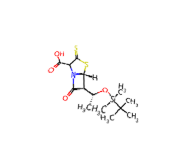 C[C@@H](O[Si](C)(C)C(C)(C)C)[C@H]1C(=O)N2C(C(=O)O)C(=S)S[C@H]12